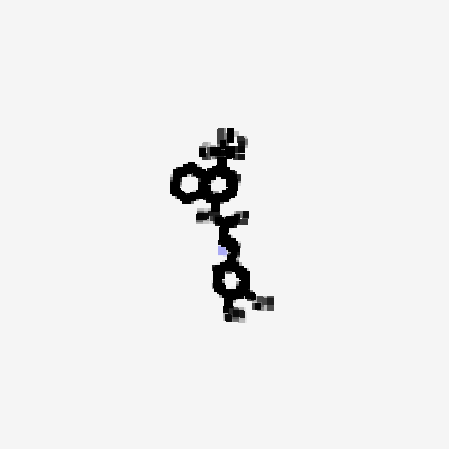 NS(=O)(=O)c1ccc(NC(=O)/C=C/c2ccc(O)c(O)c2)c2c1CCCC2